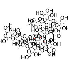 CC(=O)NC1C(O)[C@H](O[C@@H]2OC(CO[C@]3(OC=O)CC(O)[C@@H](C)C([C@H](O)[C@H](O)CO)O3)[C@H](O)[C@H](O)C2O)C(CO)O[C@H]1OC1[C@@H](OCC2O[C@@H](O[C@@H]3C(CO)O[C@@H](O[C@@H]4C(CO)O[C@@H](C)C(NC(C)=O)[C@H]4O)C(NC(C)=O)[C@H]3O)C(O)[C@@H](OC3O[C@H](CO)[C@@H](O)C(O)C3O[C@@H]3OC(CO)[C@@H](O[C@@H]4OC(CO)[C@H](O)[C@H](O)C4O)[C@H](O)C3NC(C)=O)[C@@H]2O)OC(CO)[C@@H](O)[C@@H]1O